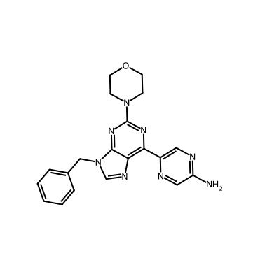 Nc1cnc(-c2nc(N3CCOCC3)nc3c2ncn3Cc2ccccc2)cn1